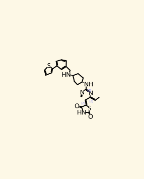 C=N\C(=N/C(=C\C)/C=C1\SC(=O)NC1=O)N[C@H]1CC[C@H](NCc2cccc(-c3cccs3)c2)CC1